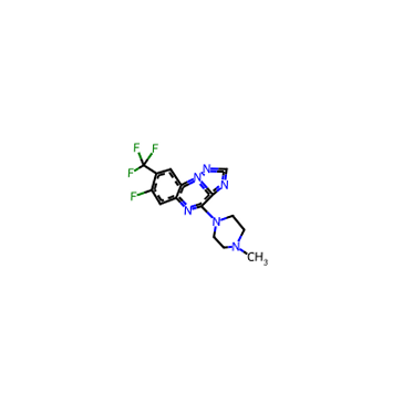 CN1CCN(c2nc3cc(F)c(C(F)(F)F)cc3n3ncnc23)CC1